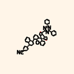 N#Cc1ccc(-c2ccc(-c3cccc4c3Oc3ccccc3C43c4ccccc4-c4c(-c5nc(-c6ccccc6)nc(-c6ccccc6)n5)cccc43)c3ccccc23)cc1